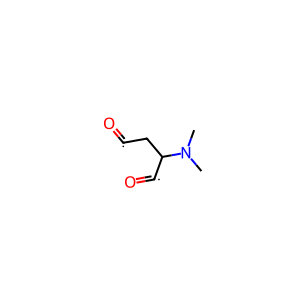 CN(C)C([C]=O)C[C]=O